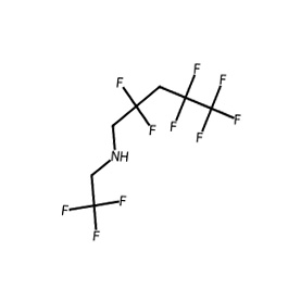 FC(F)(F)CNCC(F)(F)CC(F)(F)C(F)(F)F